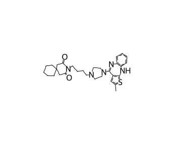 Cc1cc2c(s1)Nc1ccccc1N=C2N1CCN(CCCCN2C(=O)CC3(CCCCC3)CC2=O)CC1